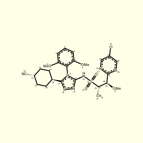 COc1cccc(OC)c1-n1c(NS(=O)(=O)[C@@H](C)[C@H](OC)c2ncc(Cl)cn2)nnc1[C@H]1CC[C@H](C#N)CC1